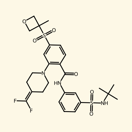 CC(C)(C)NS(=O)(=O)c1cccc(NC(=O)c2ccc(S(=O)(=O)C3(C)COC3)cc2N2CCC(=C(F)F)CC2)c1